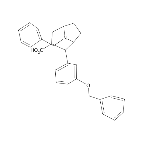 O=C(O)C1CC2CCC(C1c1cccc(OCc3ccccc3)c1)N2Cc1ccccc1